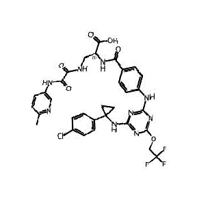 Cc1ccc(NC(=O)C(=O)NC[C@H](NC(=O)c2ccc(Nc3nc(NC4(c5ccc(Cl)cc5)CC4)nc(OCC(F)(F)F)n3)cc2)C(=O)O)cn1